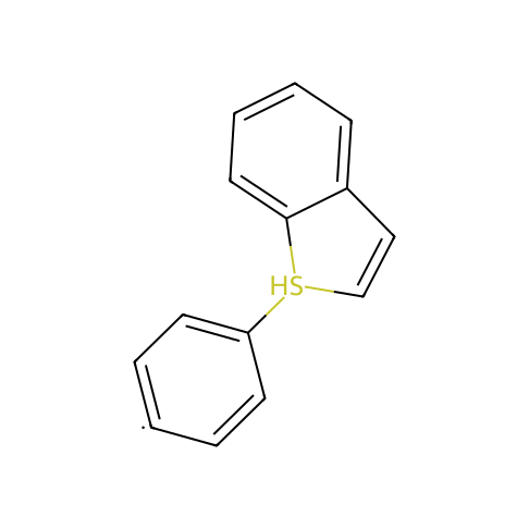 [c]1ccc([SH]2C=Cc3ccccc32)cc1